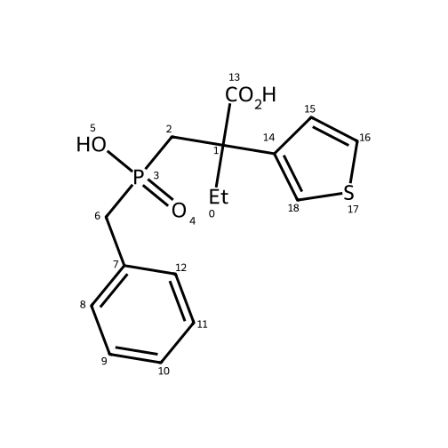 CCC(CP(=O)(O)Cc1ccccc1)(C(=O)O)c1ccsc1